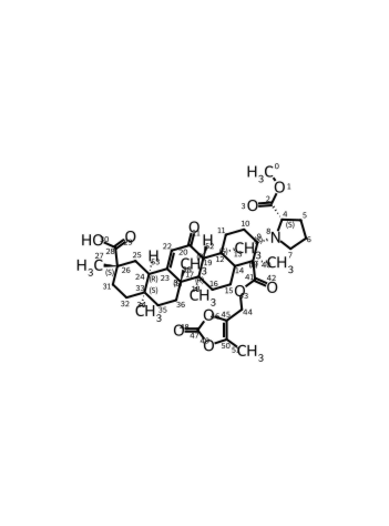 COC(=O)[C@@H]1CCCN1[C@H]1CC[C@@]2(C)C(CC[C@]3(C)[C@@H]2C(=O)C=C2[C@@H]4C[C@@](C)(C(=O)O)CC[C@]4(C)CC[C@]23C)[C@]1(C)C(=O)OCc1oc(=O)oc1C